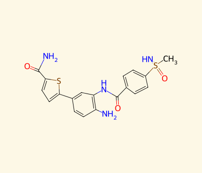 CS(=N)(=O)c1ccc(C(=O)Nc2cc(-c3ccc(C(N)=O)s3)ccc2N)cc1